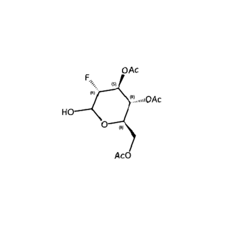 CC(=O)OC[C@H]1OC(O)[C@H](F)[C@@H](OC(C)=O)[C@@H]1OC(C)=O